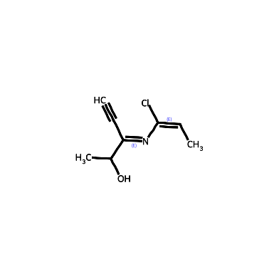 C#C/C(=N\C(Cl)=C/C)C(C)O